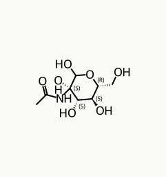 CC(=O)N[C@@]1(O)C(O)O[C@H](CO)[C@@H](O)[C@@H]1O